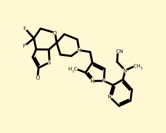 Cc1nn(-c2ncccc2N(C)CC#N)cc1CN1CCC2(CC1)OCC(F)(F)C1C=C(Cl)SC12